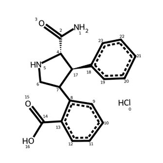 Cl.NC(=O)[C@H]1NCC(c2ccccc2C(=O)O)[C@@H]1c1ccccc1